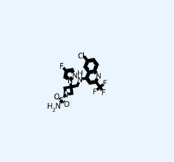 NS(=O)(=O)N1CC(CNc2cc(C(F)(F)F)nc3ccc(Cl)cc23)(n2cc(F)cn2)C1